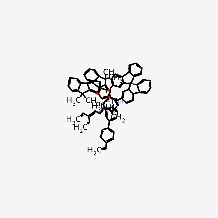 C=CC(C=C)=C/C=C(\C)C(=C)/C=C\C(=C/C)N(c1ccc2c(c1)C(C)(C)c1ccccc1-2)c1ccc2c(c1)C1(c3ccccc3-2)c2ccccc2C2C=CC(N(c3ccc(-c4ccc(C=C)cc4)cc3)c3ccc4c(c3)C(C)(C)c3ccccc3-4)=CC21